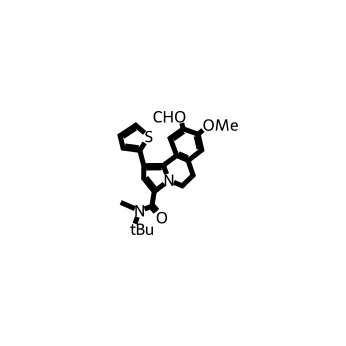 COc1cc2c(cc1C=O)-c1c(-c3cccs3)cc(C(=O)N(C)C(C)(C)C)n1CC2